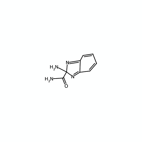 NC(=O)C1(N)N=c2ccccc2=N1